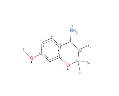 COc1ccc2c(c1)OC(C)(C)C(C)C2N